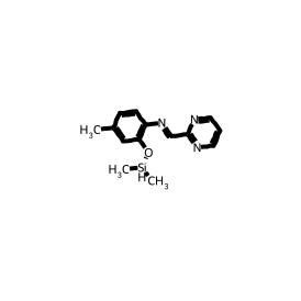 Cc1ccc(N=Cc2ncccn2)c(O[SiH](C)C)c1